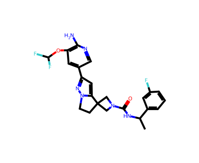 CC(NC(=O)N1CC2(CCn3nc(-c4cnc(N)c(OC(F)F)c4)cc32)C1)c1cccc(F)c1